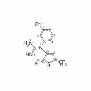 CCc1cccc(N(C(=N)N)c2cc(C(F)(F)F)sc2Br)c1